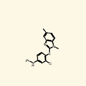 Cc1ccc2c(c1)nc(Sc1ccc(NC(C)C)cc1Cl)n2C